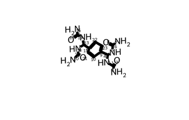 NC(=O)NC(NC(N)=O)c1ccc(C(NC(N)=O)NC(N)=O)cc1